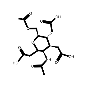 CC(=O)N[C@H]1C(CC(=O)O)O[C@@H](COC(C)=O)[C@H](CC(=O)O)[C@H]1CC(=O)O